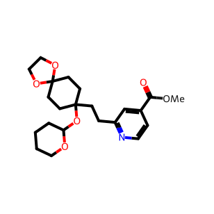 COC(=O)c1ccnc(CCC2(OC3CCCCO3)CCC3(CC2)OCCO3)c1